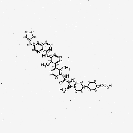 Cc1c(NC(=O)c2nc3c(n2C)CCN(C2CCC(C(=O)O)CC2)C3)cccc1-c1cccc(Nc2nccc3cc(CN4CCCC4)cnc23)c1C